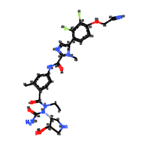 CCN(C(=O)c1ccc(NC(=O)c2ncc(-c3ccc(OCC#N)c(F)c3F)n2C)cc1C)N(C(N)=O)[C@@H]1CNC[C@H]1O